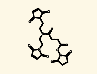 O=C(CCC(=O)N(CCC1C(=O)C=CC1=O)CCN1C(=O)C=CC1=O)ON1C(=O)CCC1=O